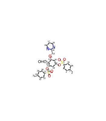 Cc1ccc(S(=O)(=O)Oc2cc(OCc3ncccn3)c(C=O)c(OS(=O)(=O)c3ccc(C)cc3)c2)cc1